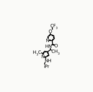 Cc1cc(C(C)NC(=O)c2ccc(OCC(F)(F)F)cn2)cc(NCC(C)C)n1